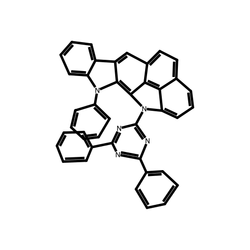 c1ccc(-c2nc(-c3ccccc3)nc(-n3c4cccc5ccc6cc7c8ccccc8n(-c8ccccc8)c7c3c6c54)n2)cc1